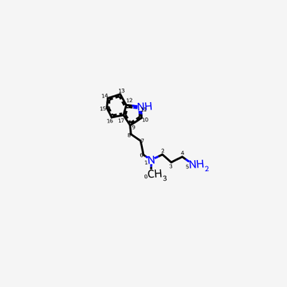 CN(CCCN)CCCc1c[nH]c2ccccc12